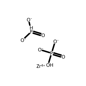 O=P([O-])([O-])O.O=[PH]([O-])[O-].[Zr+4]